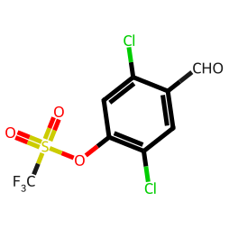 O=Cc1cc(Cl)c(OS(=O)(=O)C(F)(F)F)cc1Cl